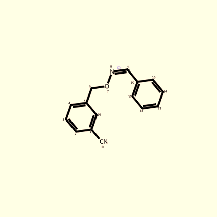 N#Cc1cccc(CO/N=[C]\c2ccccc2)c1